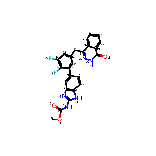 COC(=O)Nc1nc2cc(-c3cc(Cc4n[nH]c(=O)c5ccccc45)cc(F)c3F)ccc2[nH]1